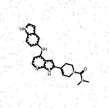 CN(C)C(=O)N1CC=C(c2cc3c(Nc4ccc5[nH]ccc5c4)ccnc3[nH]2)CC1